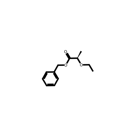 CCO[C@H](C)C(=O)OCc1ccccc1